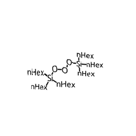 CCCCCC[Si](CCCCCC)(CCCCCC)OOO[Si](CCCCCC)(CCCCCC)CCCCCC